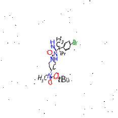 CC(C)C(C)(C(=N)NC(=O)N1CCC(N(C)C(=O)OC(C)(C)C)CC1)c1ccc(Br)cc1